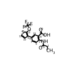 CCC(=O)Nc1ccc(-c2ccsc2OC(F)(F)F)cc1C(=O)O